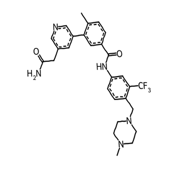 Cc1ccc(C(=O)Nc2ccc(CN3CCN(C)CC3)c(C(F)(F)F)c2)cc1-c1cncc(CC(N)=O)c1